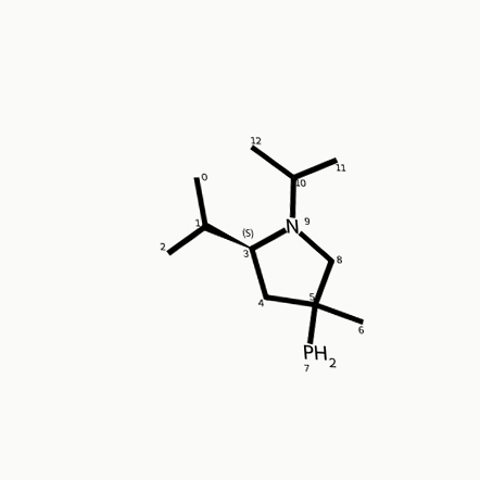 CC(C)[C@@H]1CC(C)(P)CN1C(C)C